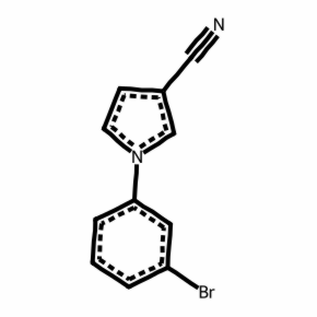 N#Cc1ccn(-c2cccc(Br)c2)c1